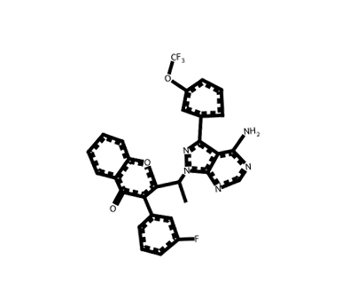 CC(c1oc2ccccc2c(=O)c1-c1cccc(F)c1)n1nc(-c2cccc(OC(F)(F)F)c2)c2c(N)ncnc21